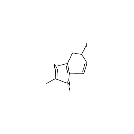 Cc1nc2c(n1C)C=CC(I)C2